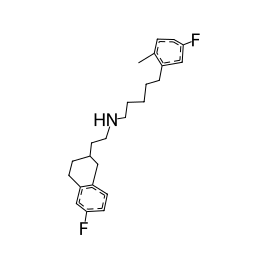 Cc1ccc(F)cc1CCCCCNCCC1CCc2cc(F)ccc2C1